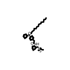 CCCCCCCCCCCCCCON(c1ccccc1)c1ccc(CC(=O)Nc2ccccc2CN2C=C(C)SC2)cc1